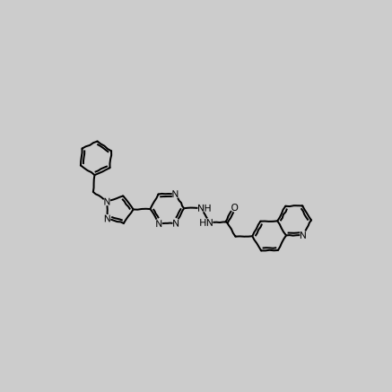 O=C(Cc1ccc2ncccc2c1)NNc1ncc(-c2cnn(Cc3ccccc3)c2)nn1